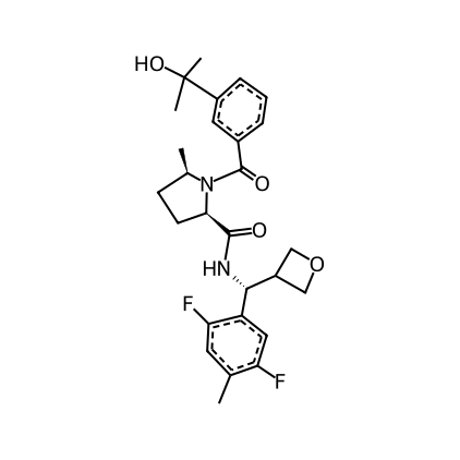 Cc1cc(F)c([C@H](NC(=O)[C@H]2CC[C@@H](C)N2C(=O)c2cccc(C(C)(C)O)c2)C2COC2)cc1F